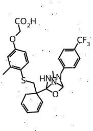 Cc1cc(OCC(=O)O)ccc1SCC1(C23NN(c4ccc(C(F)(F)F)cc4)C(O2)N3C)C=CC=CC1